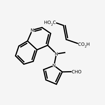 CN(c1ccnc2ccccc12)n1cccc1C=O.O=C(O)C=CC(=O)O